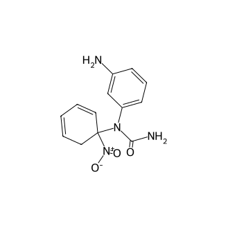 NC(=O)N(c1cccc(N)c1)C1([N+](=O)[O-])C=CC=CC1